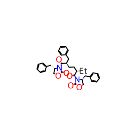 CC[C@@H](CC[C@H](Cc1ccccc1)C(=O)N1C(=O)OC[C@@H]1Cc1ccccc1)C(=O)N1C(=O)OC[C@@H]1Cc1ccccc1